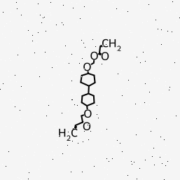 C=CC(=O)COC1CCC(C2CCC(OCOC(=O)C=C)CC2)CC1